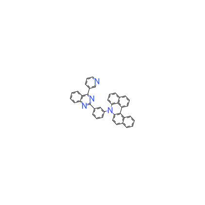 c1cncc(-c2nc(-c3cccc(N4c5ccc6ccccc6c5-c5cccc6cccc4c56)c3)nc3ccccc23)c1